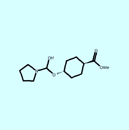 COC(=O)[C@H]1CC[C@H](OC(O)N2CCCC2)CC1